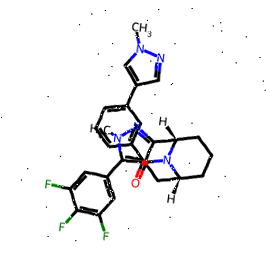 Cn1cc(-c2cccc(C(=O)N3[C@@H]4CCC[C@H]3c3nn(C)c(-c5cc(F)c(F)c(F)c5)c3C4)c2)cn1